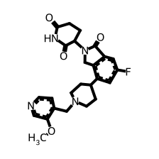 COc1cnccc1CN1CCC(c2cc(F)cc3c2CN(C2CCC(=O)NC2=O)C3=O)CC1